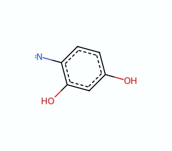 [N]c1ccc(O)cc1O